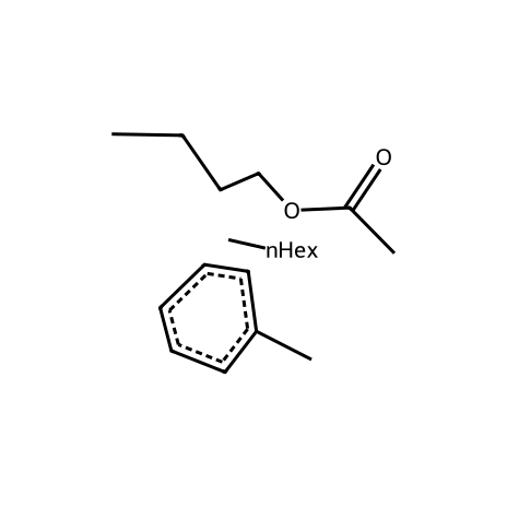 CCCCCCC.CCCCOC(C)=O.Cc1ccccc1